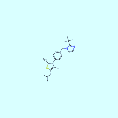 [2H]c1sc(CC(C)C)c(C)c1-c1ccc(Cn2ccnc2C(C)(C)C)cc1